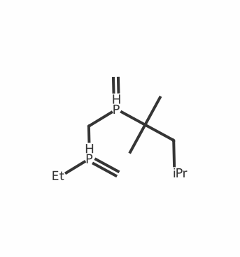 C=[PH](CC)C[PH](=C)C(C)(C)CC(C)C